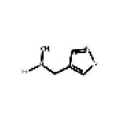 CCN(C)CC1=C[N]N=C1